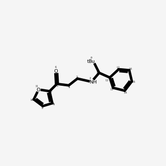 CC(C)(C)C(NCCC(=O)c1ccco1)c1ccccc1